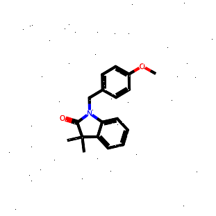 COc1ccc(CN2C(=O)C(C)(C)c3ccccc32)cc1